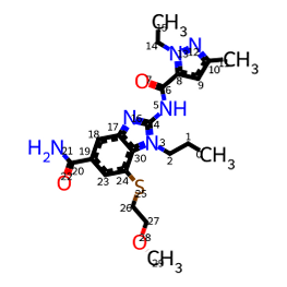 CCCn1c(NC(=O)c2cc(C)nn2CC)nc2cc(C(N)=O)cc(SCCOC)c21